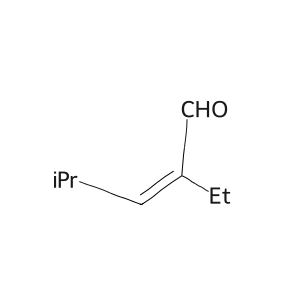 CCC(C=O)=CC(C)C